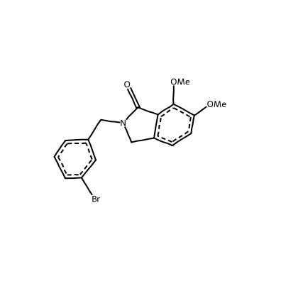 COc1ccc2c(c1OC)C(=O)N(Cc1cccc(Br)c1)C2